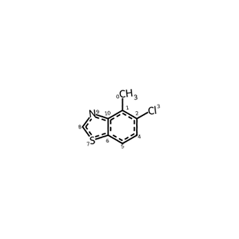 Cc1c(Cl)ccc2scnc12